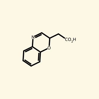 O=C(O)CC1C=Nc2ccccc2O1